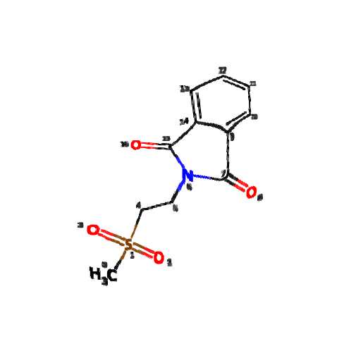 CS(=O)(=O)CCN1C(=O)c2ccccc2C1=O